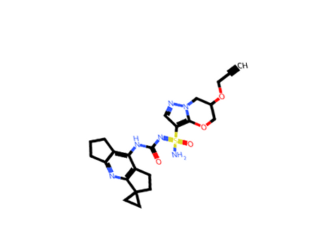 C#CCOC1COc2c(S(N)(=O)=NC(=O)Nc3c4c(nc5c3CCC53CC3)CCC4)cnn2C1